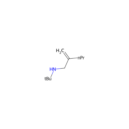 C=C(CCC)CNC(C)(C)C